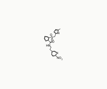 Cn1ccc(CS(=O)(=O)c2ccccc2C(=O)NCCc2ccc([N+](=O)[O-])nc2)n1